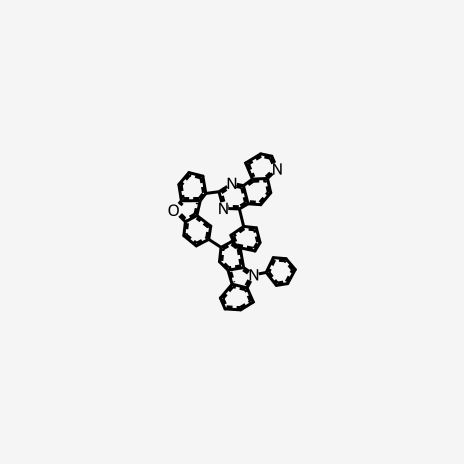 c1ccc(-c2nc(-c3cccc4oc5ccc(-c6ccc7c(c6)c6ccccc6n7-c6ccccc6)cc5c34)nc3c2ccc2ncccc23)cc1